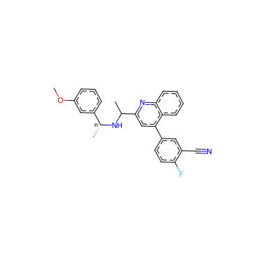 COc1cccc([C@@H](C)NC(C)c2cc(-c3ccc(F)c(C#N)c3)c3ccccc3n2)c1